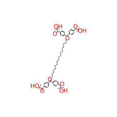 CC(C)(O)C(=O)c1ccc(C(OCCCCCCCCCCCCCCCCCCOC(c2ccc(C(=O)C(C)(C)O)cc2)c2ccc(C(=O)C(C)(C)O)cc2)c2ccc(C(=O)C(C)(C)O)cc2)cc1